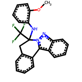 COc1ccccc1NC1(C(F)(F)F)Cc2ccccc2-c2c3ccccc3nn21